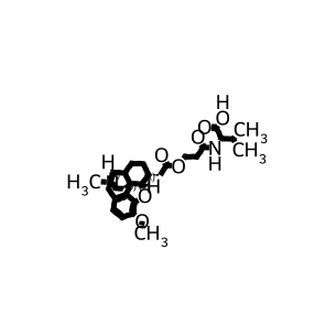 COc1ccc2c3c1O[C@H]1[C@@H](CC(=O)OCCC(=O)NC(C(=O)O)C(C)C)CCC4[C@@H](C2)N(C)CC[C@@]341